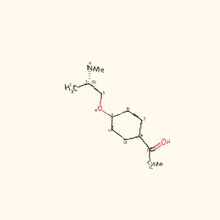 CN[C@@H](C)COC1CCC(C(=O)OC)CC1